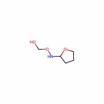 OCONC1CCCO1